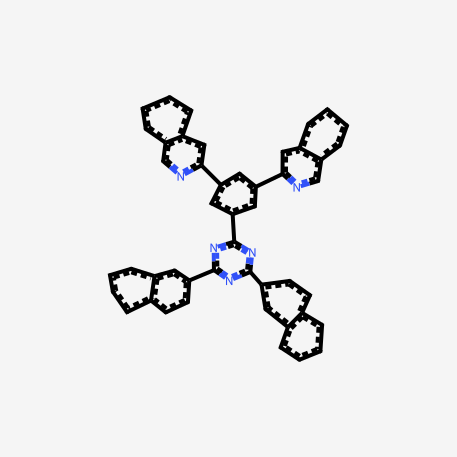 c1ccc2cc(-c3nc(-c4cc(-c5cc6ccccc6cn5)cc(-c5cc6ccccc6cn5)c4)nc(-c4ccc5ccccc5c4)n3)ccc2c1